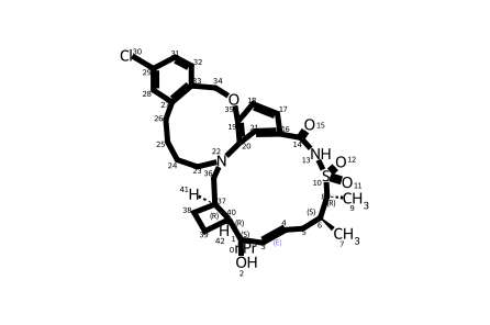 CCC[C@@]1(O)/C=C/C[C@H](C)[C@@H](C)S(=O)(=O)NC(=O)c2ccc3c(c2)N(CCCCc2cc(Cl)ccc2CO3)C[C@@H]2CC[C@H]21